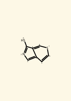 Sc1ncc2ccscc1-2